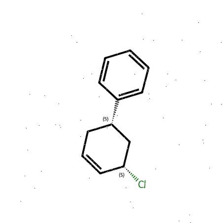 Cl[C@@H]1C=CC[C@H](c2ccccc2)C1